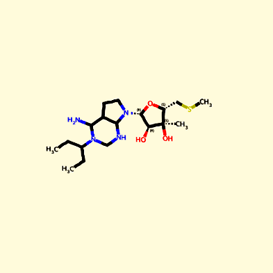 CCC(CC)N1CNC2C(CCN2[C@@H]2O[C@H](CSC)[C@@](C)(O)[C@H]2O)C1N